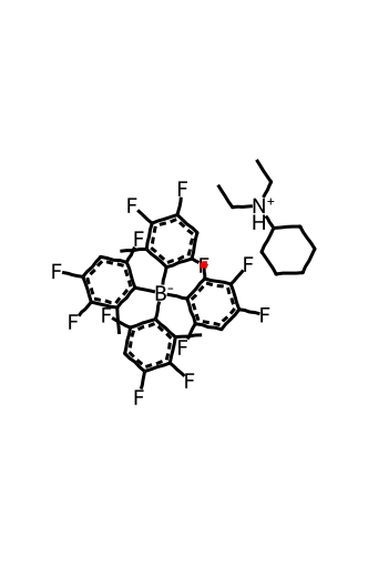 CC[NH+](CC)C1CCCCC1.Cc1c(F)c(F)cc(F)c1[B-](c1c(F)cc(F)c(F)c1C)(c1c(F)cc(F)c(F)c1C)c1c(F)cc(F)c(F)c1C